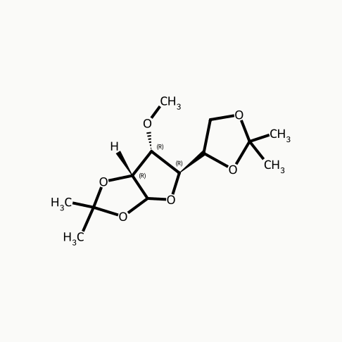 CO[C@@H]1[C@@H](C2COC(C)(C)O2)OC2OC(C)(C)O[C@@H]21